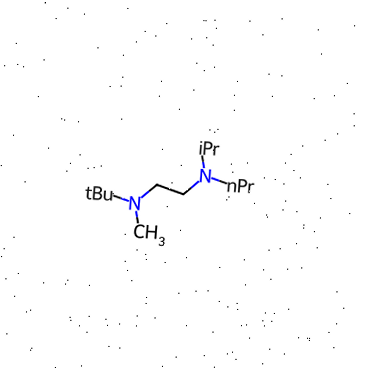 CCCN(CCN(C)C(C)(C)C)C(C)C